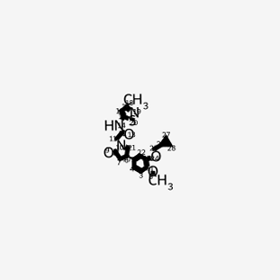 COc1ccc([C@H]2CC(=O)N(CC(=O)Nc3cc(C)ns3)C2)cc1OCC1CC1